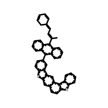 C/C(=C\C=C1\C=CC=CC1)c1c2ccccc2c(-c2ccc3sc4cc5ccc6oc7ccccc7c6c5cc4c3c2)c2ccccc12